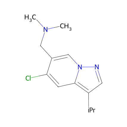 CC(C)c1cnn2cc(CN(C)C)c(Cl)cc12